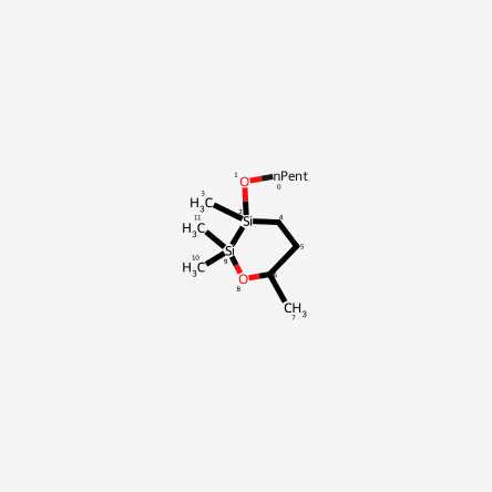 CCCCCO[Si]1(C)CCC(C)O[Si]1(C)C